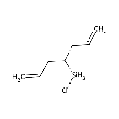 C=CCC(CC=C)[SiH2]Cl